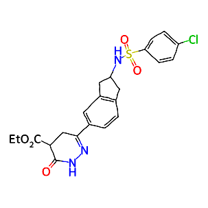 CCOC(=O)C1CC(c2ccc3c(c2)CC(NS(=O)(=O)c2ccc(Cl)cc2)C3)=NNC1=O